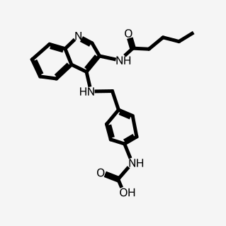 CCCCC(=O)Nc1cnc2ccccc2c1NCc1ccc(NC(=O)O)cc1